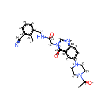 CC(=O)N1CCN(c2ccc3ncn(CC(=O)NCc4cccc(C#N)c4C)c(=O)c3c2)CC1